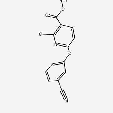 COC(=O)c1ccc(Oc2cccc(C#N)c2)nc1Cl